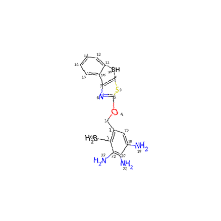 Bc1c(COc2nc3c(s2)Bc2ccccc2-3)cc(N)c(N)c1N